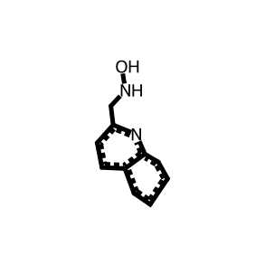 ONCc1ccc2ccccc2n1